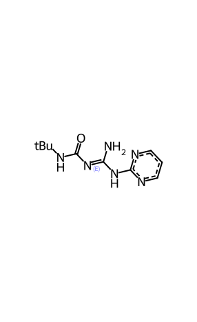 CC(C)(C)NC(=O)/N=C(\N)Nc1ncccn1